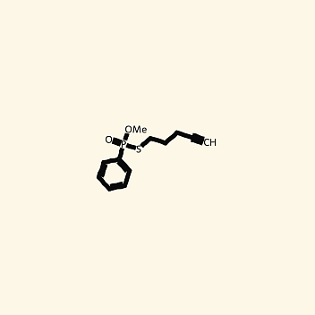 C#CCCCSP(=O)(OC)c1ccccc1